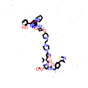 Cc1ncsc1-c1ccc([C@H](C)NC(=O)[C@H]2C[C@@H](OC=O)CN2C(=O)[C@@H](c2cc(N3CCN(CCN4CCC(OC5CC(Oc6cc(N7C8CCC7CN(c7cc(-c9ccccc9O)nnc7N)C8)ccn6)C5)CC4)CC3)no2)C(C)C)cc1